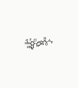 O=C(Nc1cn2cc(-c3c(Cl)c(F)c(NC4CC4)c4[nH]ncc34)ncc2n1)C1CC1F